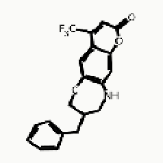 O=c1cc(C(F)(F)F)c2cc3c(cc2o1)NCC(Cc1ccccc1)CC3